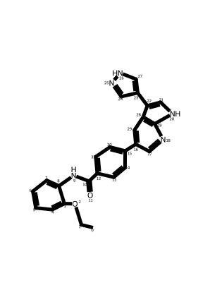 CCOc1ccccc1NC(=O)c1ccc(-c2cnc3[nH]cc(-c4cn[nH]c4)c3c2)cc1